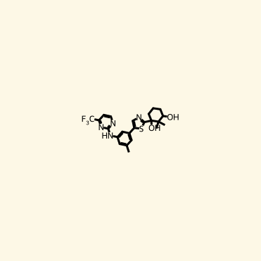 Cc1cc(Nc2nccc(C(F)(F)F)n2)cc(-c2cnc(C3(O)CCCC(O)C3(C)C)s2)c1